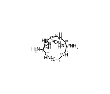 NC12CNCCNCC(N)(CNCCNC1)CNCCNC2